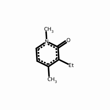 CCc1c(C)ccn(C)c1=O